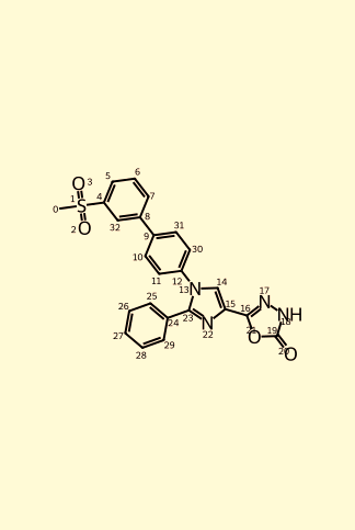 CS(=O)(=O)c1cccc(-c2ccc(-n3cc(-c4n[nH]c(=O)o4)nc3-c3ccccc3)cc2)c1